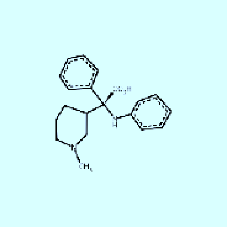 CN1CCCC([C@](Nc2ccccc2)(C(=O)O)c2ccccc2)C1